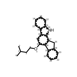 CC(C)CCOc1cc2c([nH]c3ccccc32)c2c1-c1ccccc1C2